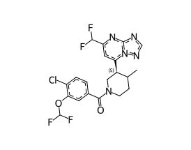 CC1CCN(C(=O)c2ccc(Cl)c(OC(F)F)c2)C[C@H]1c1cc(C(F)F)nc2ncnn12